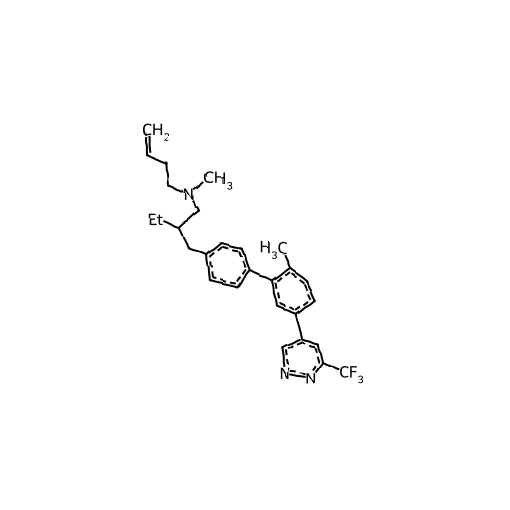 C=CCCN(C)CC(CC)Cc1ccc(-c2cc(-c3cnnc(C(F)(F)F)c3)ccc2C)cc1